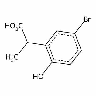 CC(C(=O)O)c1cc(Br)ccc1O